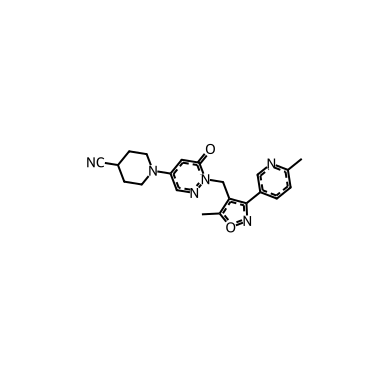 Cc1ccc(-c2noc(C)c2Cn2ncc(N3CCC(C#N)CC3)cc2=O)cn1